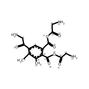 Cc1c(C(=O)CN)cc(C(=O)OC(=O)CN)c(C(=O)OC(=O)CN)c1C